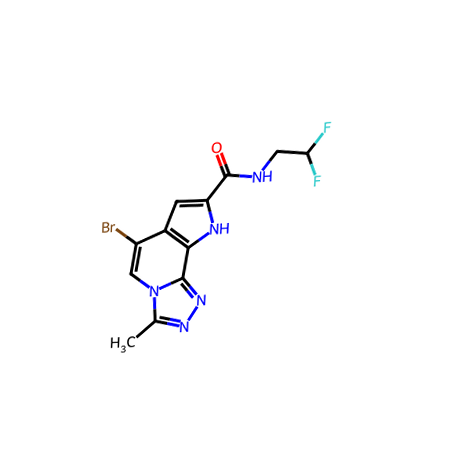 Cc1nnc2c3[nH]c(C(=O)NCC(F)F)cc3c(Br)cn12